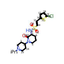 CC(C)N1CCC(N2CCC[C@H](NS(=O)(=O)/C=C/c3ccc(Cl)s3)C2=O)CC1